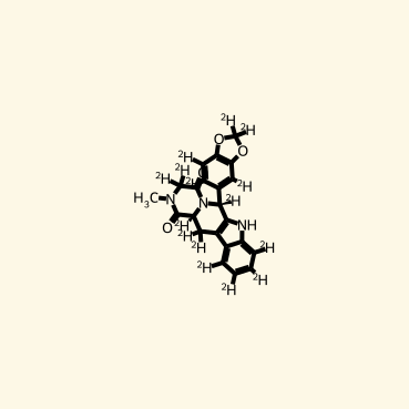 [2H]c1c([2H])c([C@]2([2H])c3[nH]c4c([2H])c([2H])c([2H])c([2H])c4c3C([2H])([2H])[C@]3([2H])C(=O)N(C)C([2H])([2H])C(=O)N23)c([2H])c2c1OC([2H])([2H])O2